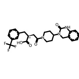 O=C(O)[C@H](CC(=O)N1CCC(N2Cc3ccccc3NC2=O)CC1)Cc1cccc(C(F)(F)F)c1